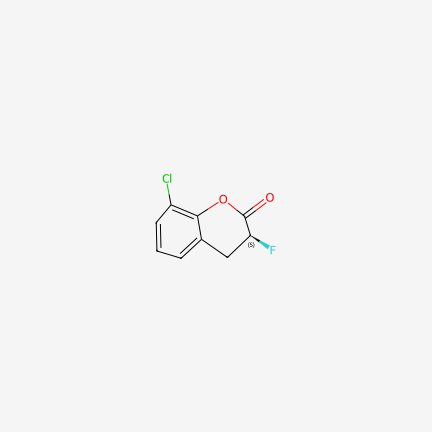 O=C1Oc2c(Cl)cccc2C[C@@H]1F